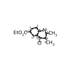 CCOC(=O)c1ccc2nc(C)c(C)c(Cl)c2c1